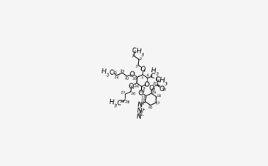 CCCCOC1C(C)OC(OC2C(N=[N+]=[N-])CCCC2OC(C)=O)C(OCCCC)C1OCCCC